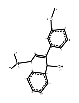 COc1cccc(C(=CCN(C)C)C(O)c2ccccc2)c1